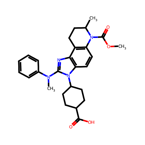 COC(=O)N1c2ccc3c(nc(N(C)c4ccccc4)n3C3CCC(C(=O)O)CC3)c2CCC1C